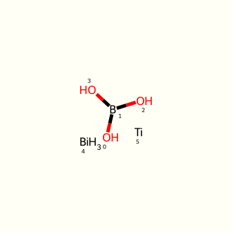 OB(O)O.[BiH3].[Ti]